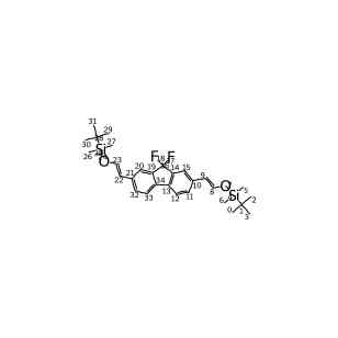 CC(C)(C)[Si](C)(C)OC=Cc1ccc2c(c1)C(F)(F)c1cc(C=CO[Si](C)(C)C(C)(C)C)ccc1-2